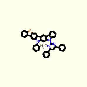 CN1C(n2c3ccccc3c3cc4c5cc6sc7ccccc7c6cc5n(-c5ccccc5)c4cc32)=NC(c2ccccc2)=CC1c1ccccc1